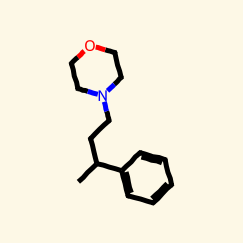 CC(CCN1CCOCC1)c1ccccc1